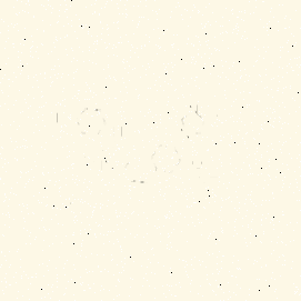 COc1cc(C=C(CCCCl)C(=O)NC(C)(C)c2cc(F)cc(F)c2)ccc1-n1cnc(C)c1